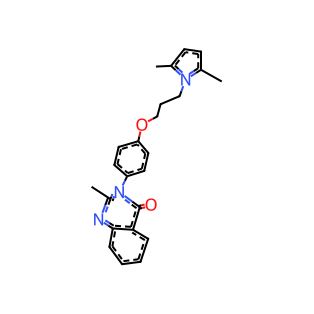 Cc1ccc(C)n1CCCOc1ccc(-n2c(C)nc3ccccc3c2=O)cc1